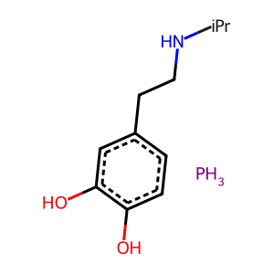 CC(C)NCCc1ccc(O)c(O)c1.P